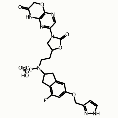 CN(CCC1CN(c2cnc3c(n2)NC(=O)CO3)C(=O)O1)C1Cc2cc(OCc3cc[nH]n3)cc(F)c2C1.O=CO